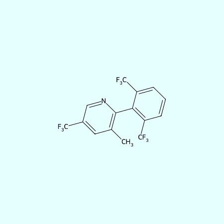 Cc1cc(C(F)(F)F)cnc1-c1c(C(F)(F)F)cccc1C(F)(F)F